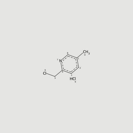 Cc1ccc(CCl)nc1.Cl